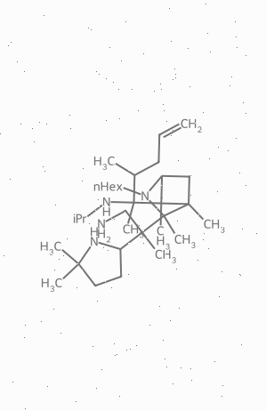 C=CCC(C)C(C)(NC(C)C)C1(C)C2CC1(C)C(C)(C(C)(CN)C1CCC(C)(C)N1)N2CCCCCC